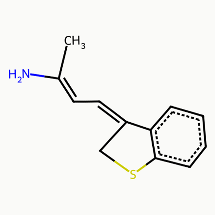 C/C(N)=C\C=C1/CSc2ccccc21